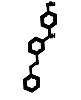 CCCCc1ccc(Nc2cccc(SCc3ccccc3)c2)cc1